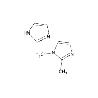 Cc1nccn1C.c1c[nH]cn1